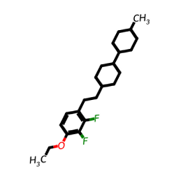 CCOc1ccc(CCC2CCC(C3CCC(C)CC3)CC2)c(F)c1F